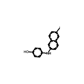 Oc1ccc(Nc2ccc3cc(I)ccc3c2)cc1